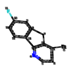 CCc1ccnc2c1Cc1cc(F)ccc1-2